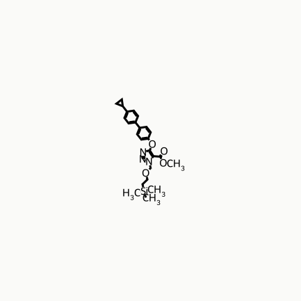 COC(=O)c1c(Oc2ccc(-c3ccc(C4CC4)cc3)cc2)nnn1COCC[Si](C)(C)C